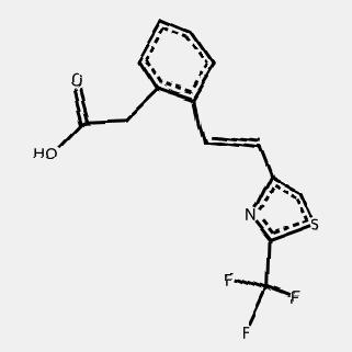 O=C(O)Cc1ccccc1/C=C/c1csc(C(F)(F)F)n1